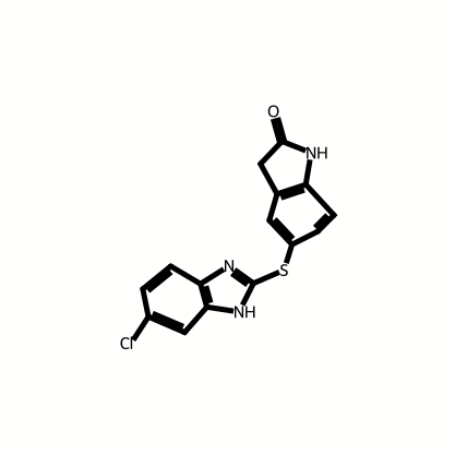 O=C1Cc2cc(Sc3nc4ccc(Cl)cc4[nH]3)ccc2N1